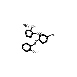 O=C([O-])c1ccccc1N=Nc1ccc(O)cc1.O=C([O-])c1ccccc1O.[Na+].[Na+]